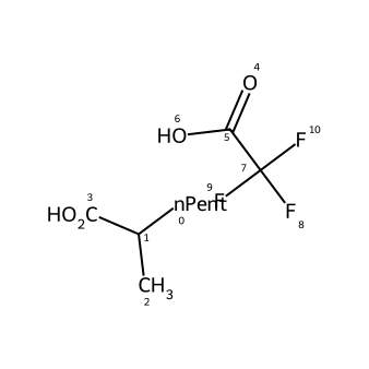 CCCCCC(C)C(=O)O.O=C(O)C(F)(F)F